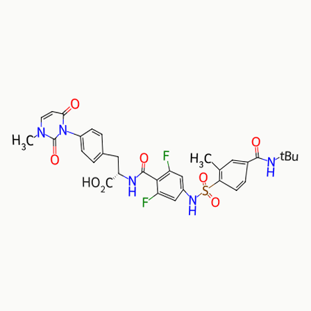 Cc1cc(C(=O)NC(C)(C)C)ccc1S(=O)(=O)Nc1cc(F)c(C(=O)N[C@@H](Cc2ccc(-n3c(=O)ccn(C)c3=O)cc2)C(=O)O)c(F)c1